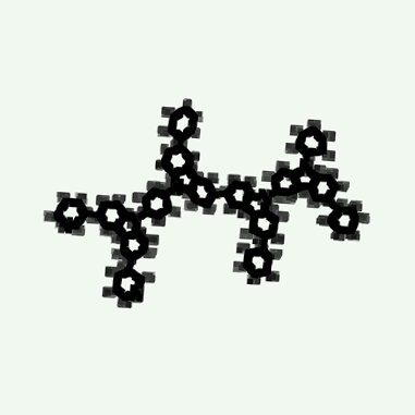 c1ccc(-c2ccc3c(c2)c2cc(-c4ccc5c(c4)c4cc(-c6ccccc6)ccc4n5-c4ccc5c(c4)c4cc(-c6ccccc6)ccc4n5-c4ccccc4)ccc2n3-c2ccc(-n3c4ccc(-c5cccnc5)cc4c4cc(-c5cccnc5)ccc43)cc2)cc1